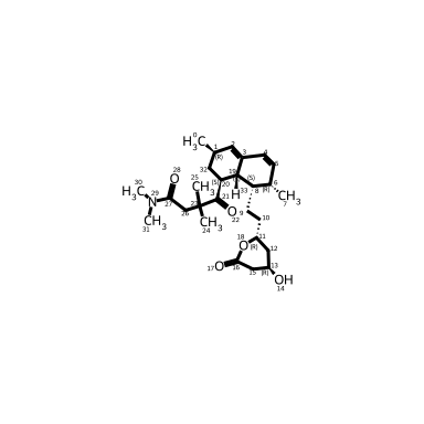 C[C@H]1C=C2C=C[C@H](C)[C@H](CC[C@@H]3C[C@@H](O)CC(=O)O3)[C@@H]2[C@@H](C(=O)C(C)(C)CC(=O)N(C)C)C1